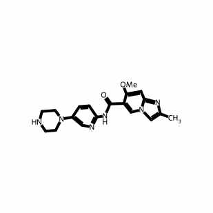 COc1cc2nc(C)cn2cc1C(=O)Nc1ccc(N2CCNCC2)cn1